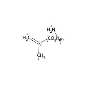 C=C(C)C(=O)O.[CH2]CCN